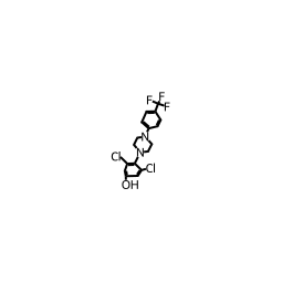 Oc1cc(Cl)c(N2CCN(c3ccc(C(F)(F)F)cc3)CC2)c(Cl)c1